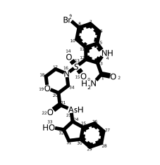 NC(=O)c1[nH]c2ccc(Br)cc2c1S(=O)(=O)N1CCOC(C(=O)[AsH]C2c3ccccc3CC2O)C1